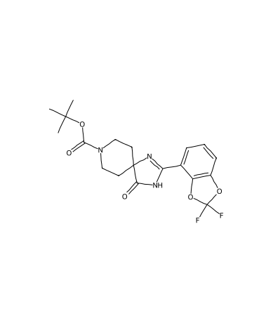 CC(C)(C)OC(=O)N1CCC2(CC1)N=C(c1cccc3c1OC(F)(F)O3)NC2=O